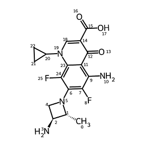 C[C@@H]1[C@@H](N)CN1c1c(F)c(N)c2c(=O)c(C(=O)O)cn(C3CC3)c2c1F